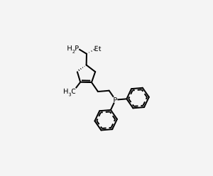 CC[C@@H](P)[C@H]1CC(C)=C(CCP(c2ccccc2)c2ccccc2)C1